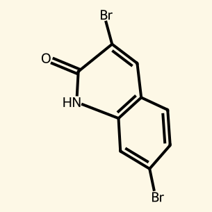 O=c1[nH]c2cc(Br)ccc2cc1Br